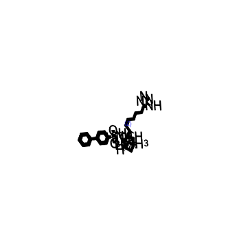 CC1(C)[C@H]2C[C@H](C/C=C\CCCc3nnn[nH]3)[C@@H](NS(=O)(=O)c3ccc(-c4ccccc4)cc3)[C@H]1C2